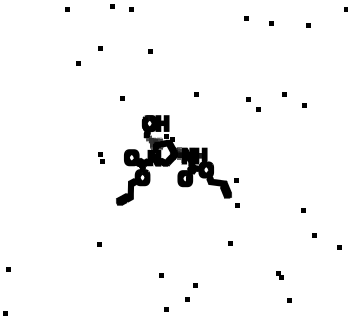 C=CCOC(=O)N[C@H]1C[C@@H](CO)N(C(=O)OCC=C)C1